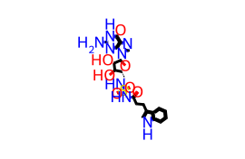 Nc1nc2c(ncn2[C@@H]2O[C@H](CNS(=O)(=O)NC(=O)CCc3c[nH]c4ccccc34)C(O)C2O)c(=O)[nH]1